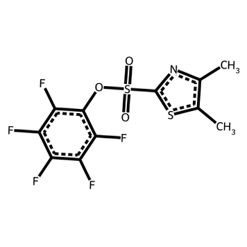 Cc1nc(S(=O)(=O)Oc2c(F)c(F)c(F)c(F)c2F)sc1C